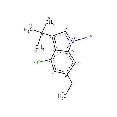 CCc1cc(F)c2c(C(C)(C)C)cn(I)c2c1